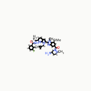 COc1cc(C(=O)N2C[C@H](N)CCN2C)cc2nc(-c3cc4ccc([C@@H](C)NC(=O)c5cccc(F)c5C)nc4n3CC3CC3)n(C)c12